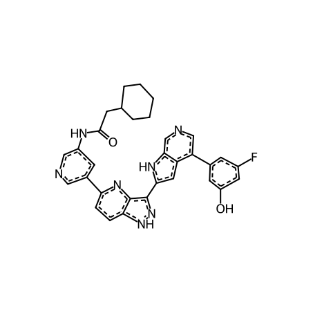 O=C(CC1CCCCC1)Nc1cncc(-c2ccc3[nH]nc(-c4cc5c(-c6cc(O)cc(F)c6)cncc5[nH]4)c3n2)c1